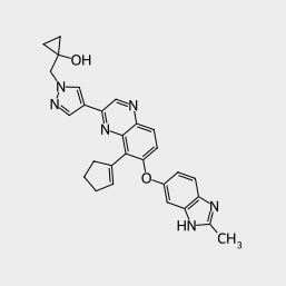 Cc1nc2ccc(Oc3ccc4ncc(-c5cnn(CC6(O)CC6)c5)nc4c3C3=CCCC3)cc2[nH]1